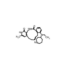 CCN(c1cccc2c1C/C=C/CCc1cc(C)[nH]c(=O)c1CNC2=O)C1CCCNCC1